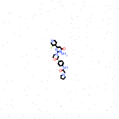 Nn1c(N2CCO[C@@H](c3ccc(NC(=O)CN4CCCC4)cc3)C2)nc(-c2ccncc2F)cc1=O